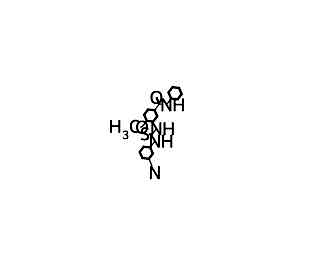 COc1ccc(C(=O)Nc2ccccc2)cc1NC(=S)Nc1cccc(C#N)c1